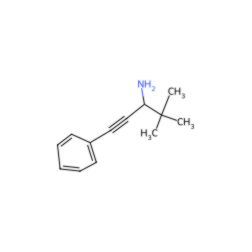 CC(C)(C)C(N)C#Cc1ccccc1